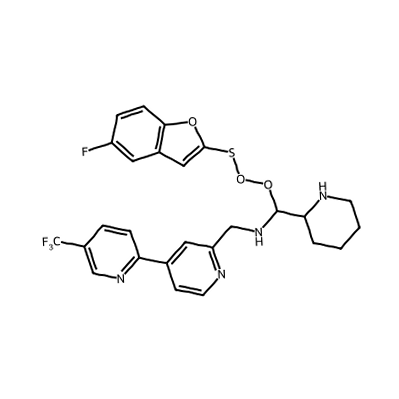 Fc1ccc2oc(SOOC(NCc3cc(-c4ccc(C(F)(F)F)cn4)ccn3)C3CCCCN3)cc2c1